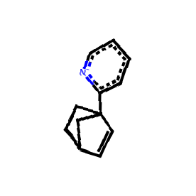 C1=CC2(c3ccccn3)CCC1C2